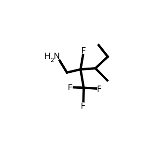 CCC(C)C(F)(CN)C(F)(F)F